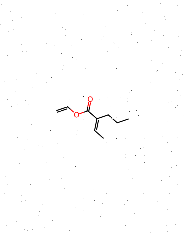 C=COC(=O)C(=CC)CCC